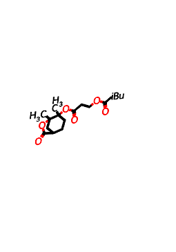 CCC(C)C(=O)OCCC(=O)OC1(C)CCC2CC1(C)OC2=O